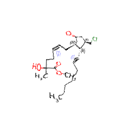 CCCCCC/C=C/[C@H]1[C@H](CCl)CC(=O)[C@@H]1C/C=C\CCC(C)(O)C(=O)OC